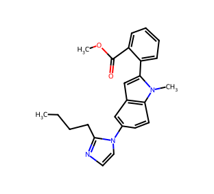 CCCCc1nccn1-c1ccc2c(c1)cc(-c1ccccc1C(=O)OC)n2C